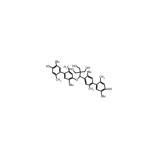 Cc1cc(S)c(C(C)(C)C)cc1-c1cc(C(C)(C)C)c(OC(c2cc(C)c(-c3cc(C(C)(C)C)c(S)cc3C)cc2C(C)(C)C)C(CO)(CO)CO)cc1C